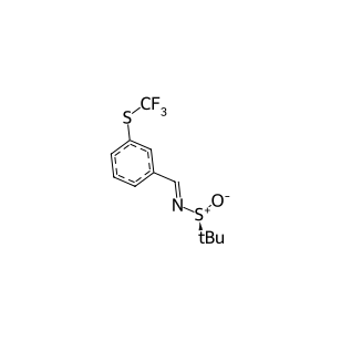 CC(C)(C)[S@+]([O-])/N=C/c1cccc(SC(F)(F)F)c1